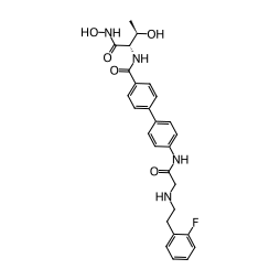 C[C@@H](O)[C@H](NC(=O)c1ccc(-c2ccc(NC(=O)CNCCc3ccccc3F)cc2)cc1)C(=O)NO